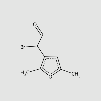 Cc1cc(C(Br)C=O)c(C)o1